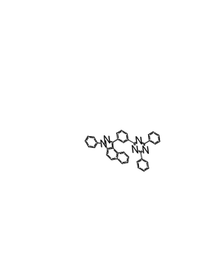 c1ccc(-c2nc(-c3ccccc3)nc(-c3cccc(-c4nn(-c5ccccc5)c5ccc6ccccc6c45)c3)n2)cc1